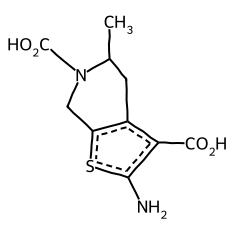 CC1Cc2c(sc(N)c2C(=O)O)CN1C(=O)O